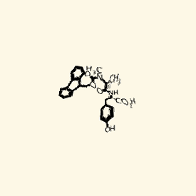 C[C@@H](C(=O)N[C@@H](Cc1ccc(O)cc1)C(=O)O)N(C)C(=O)OCC1c2ccccc2-c2ccccc21